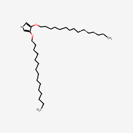 CCCCCCCCCCCCCCCOc1c[se]cc1OCCCCCCCCCCCCCCC